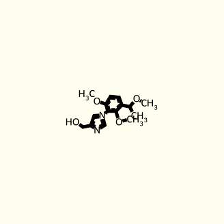 COc1ccc(C(C)OC)c(OC)c1-n1cnc(CO)c1